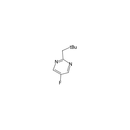 CC(C)(C)Cc1ncc(F)cn1